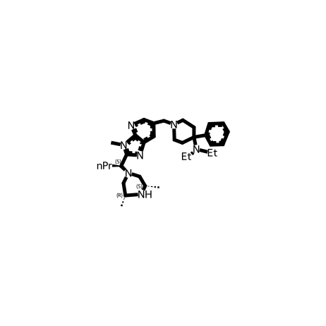 CCC[C@@H](c1nc2cc(CN3CCC(c4ccccc4)(N(CC)CC)CC3)cnc2n1C)N1C[C@@H](C)N[C@@H](C)C1